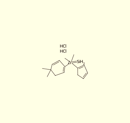 CC1(C)C=C[C]([Zr]([CH3])([CH3])(=[SiH2])[C]2=CC=CC2)=CC1.Cl.Cl